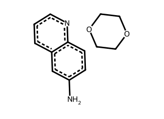 C1COCCO1.Nc1ccc2ncccc2c1